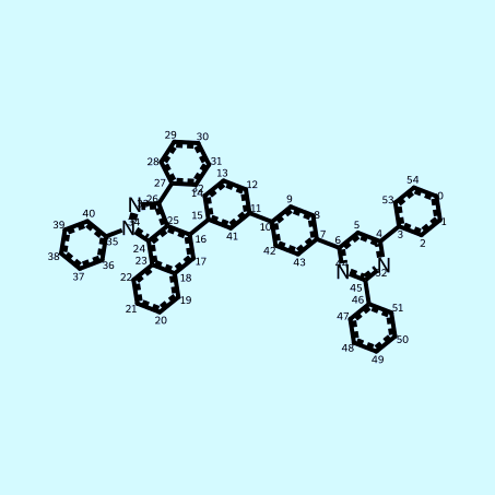 c1ccc(-c2cc(-c3ccc(-c4cccc(-c5cc6ccccc6c6c5c(-c5ccccc5)nn6-c5ccccc5)c4)cc3)nc(-c3ccccc3)n2)cc1